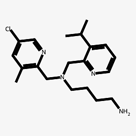 Cc1cc(Cl)cnc1CN(CCCCN)Cc1ncccc1C(C)C